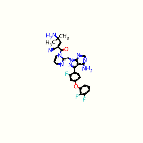 CC(C)(N)C=C(C#N)C(=O)N1C=CC=N[C@@H]1Cn1nc(-c2ccc(Oc3cccc(F)c3F)cc2F)c2c(N)ncnc21